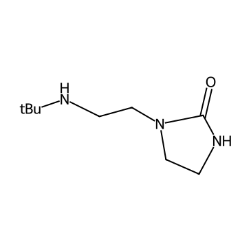 CC(C)(C)NCCN1CCNC1=O